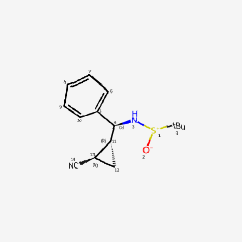 CC(C)(C)[S+]([O-])N[C@H](c1ccccc1)[C@@H]1C[C@H]1C#N